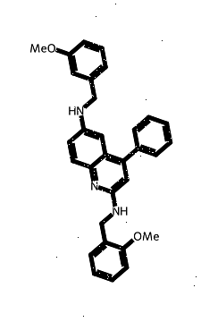 COc1cccc(CNc2ccc3nc(NCc4ccccc4OC)cc(-c4ccccc4)c3c2)c1